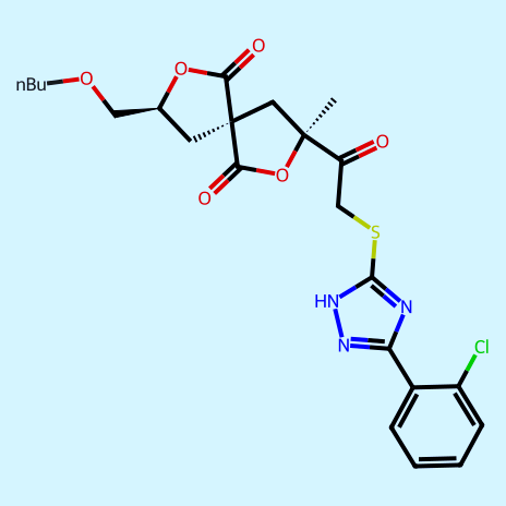 CCCCOC[C@@H]1C[C@@]2(C[C@@](C)(C(=O)CSc3nc(-c4ccccc4Cl)n[nH]3)OC2=O)C(=O)O1